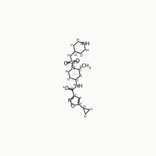 CC1CC(NC(=O)c2cc(C3CC3)on2)CCN1S(=O)(=O)CC1CCNCC1